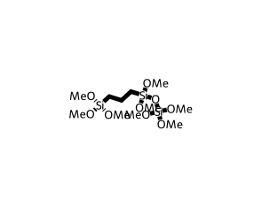 CO[Si](CCC[Si](OC)(OC)O[Si](OC)(OC)OC)(OC)OC